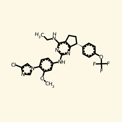 CCNc1nc(Nc2ccc(-n3cnc(Cl)c3)c(OC)c2)nc2c1CC[C@@H]2c1ccc(OC(F)(F)F)cc1